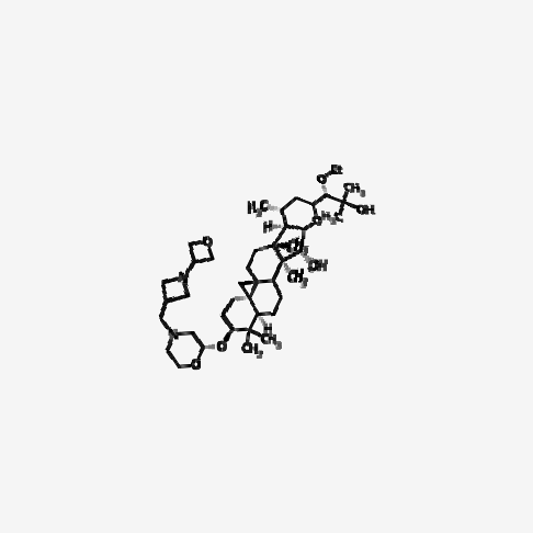 CCO[C@@H](C1C[C@@H](C)[C@H]2C(O1)[C@H](O)[C@@]1(C)C3CC[C@H]4C(C)(C)[C@@H](O[C@H]5CN(CC6CN(C7COC7)C6)CCO5)CC[C@@]45C[C@@]35CC[C@]21C)C(C)(C)O